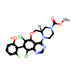 CC(C)(C)OC(=O)N1CCN2c3ncnc4c(Cl)c(-c5c(O)cccc5F)c(Cl)c(c34)OC[C@@H]2C1